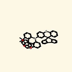 CC1(C)c2ccccc2-c2c(N(c3ccc4c(c3)C3(c5ccccc5S4)c4ccccc4-c4ccccc43)c3cccc4oc5ccccc5c34)cccc21